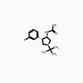 CC(C)(C)N1C[C@H](NC(=O)O)[C@@H](c2cccc(F)c2)C1